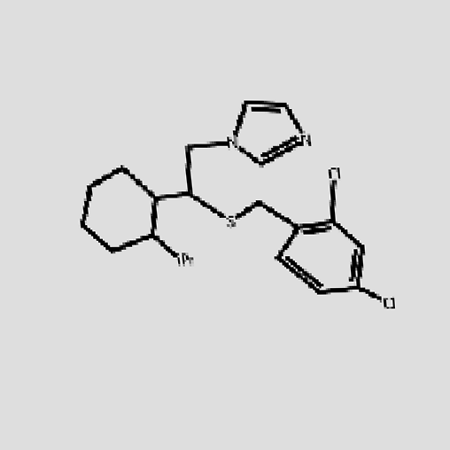 CC(C)C1CCCCC1C(Cn1ccnc1)SCc1ccc(Cl)cc1Cl